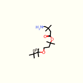 CCCC(C)(C)C(C)(C)OCCC(C)(C)OC(=O)CC(C)(C)CN